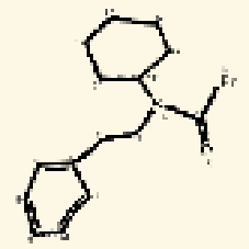 CC(C)C(=O)N(CCc1ccccc1)C1CCCCC1